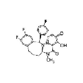 CN1C(=O)c2c(O)c(=O)ccn2N2C1CCCc1cc(F)c(F)cc1[C@H]2c1ccc(F)cc1